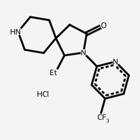 CCC1N(c2cc(C(F)(F)F)ccn2)C(=O)CC12CCNCC2.Cl